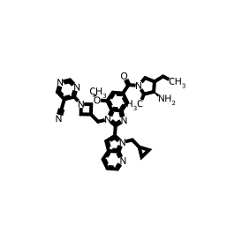 CCC1CN(C(=O)c2cc(OC)c3c(c2)nc(-c2cc4cccnc4n2CC2CC2)n3CC2CN(c3ncncc3C#N)C2)C(C)[C@@H]1N